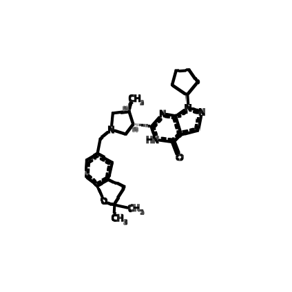 C[C@@H]1CN(Cc2ccc3c(c2)CC(C)(C)O3)C[C@H]1c1nc2c(cnn2C2CCCC2)c(=O)[nH]1